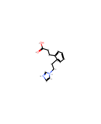 O=C(O)CCc1ccccc1CCn1ccnc1